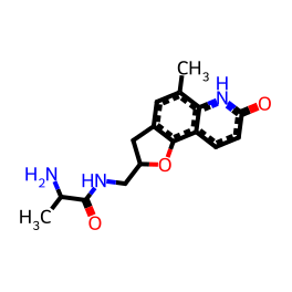 Cc1cc2c(c3ccc(=O)[nH]c13)OC(CNC(=O)C(C)N)C2